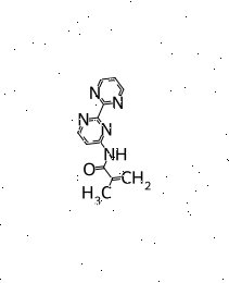 C=C(C)C(=O)Nc1ccnc(-c2ncccn2)n1